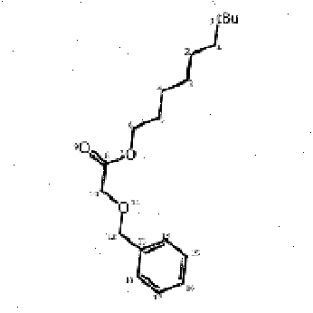 CC(C)(C)CCCCCCOC(=O)COCc1ccccc1